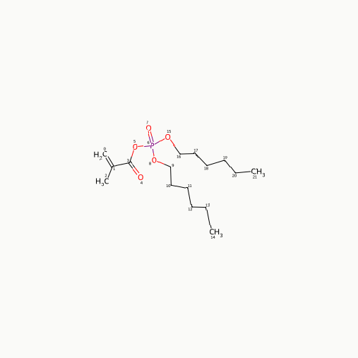 C=C(C)C(=O)OP(=O)(OCCCCCC)OCCCCCC